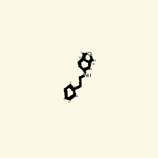 c1ccc(CCNc2ccc3cocc3c2)cc1